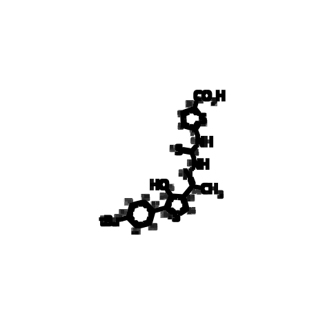 CC(=NNC(=S)Nc1ccc(C(=O)O)s1)c1csc(-c2ccc(C(C)(C)C)cc2)c1O